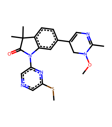 CON1CC(c2ccc3c(c2)N(c2cncc(SC)n2)C(=O)C3(C)C)=CN=C1C